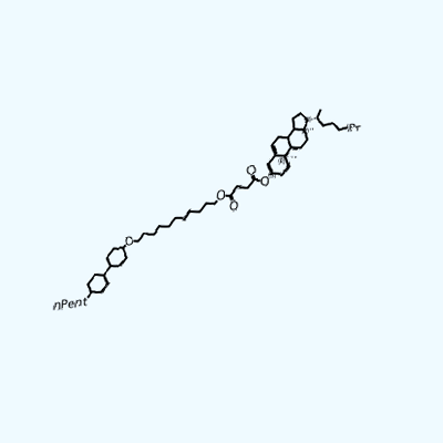 CCCCCC1CCC(C2CCC(OCCCCCCCCCCCOC(=O)CCC(=O)O[C@H]3CC[C@@]4(C)C(=CCC5C4CC[C@@]4(C)C5CC[C@@H]4C(C)CCCC(C)C)C3)CC2)CC1